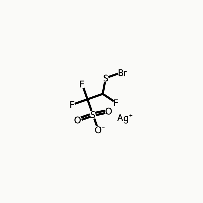 O=S(=O)([O-])C(F)(F)C(F)SBr.[Ag+]